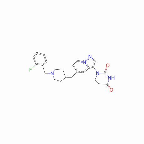 O=C1CCN(c2cnn3ccc(CC4CCN(Cc5ccccc5F)CC4)cc23)C(=O)N1